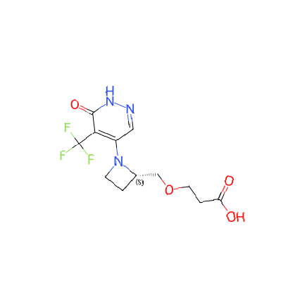 O=C(O)CCOC[C@@H]1CCN1c1cn[nH]c(=O)c1C(F)(F)F